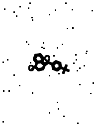 CC(C)(C)c1ccc(-c2oc3cccc4c3c2C=CC4=O)cc1